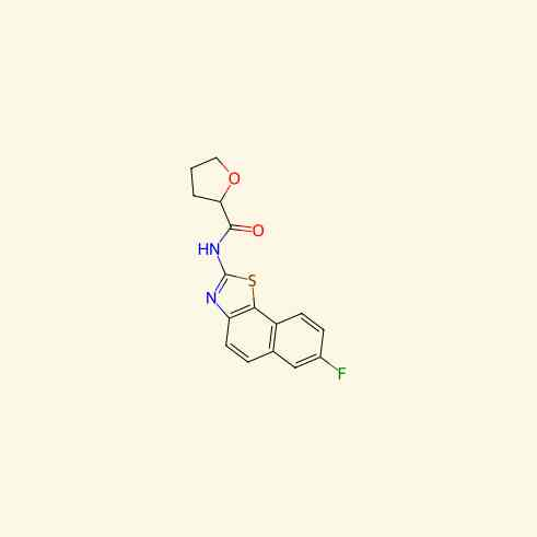 O=C(Nc1nc2ccc3cc(F)ccc3c2s1)C1CCCO1